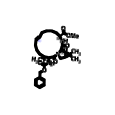 COC(=O)[C@@H]1CCCC/C=C/CCCC(C)(C)C(NC(=O)OCc2ccccc2)C(=O)N2CC3C([C@H]2C(=O)N1)C3(C)C